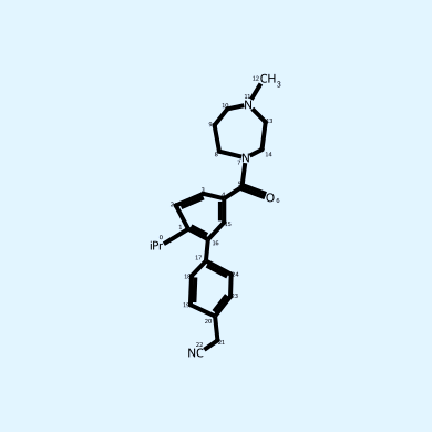 CC(C)c1ccc(C(=O)N2CCCN(C)CC2)cc1-c1ccc(CC#N)cc1